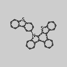 c1ccc2c(c1)sc1ccc(-n3c4ccccc4c4c5ccccc5c5c6ccccc6sc5c43)cc12